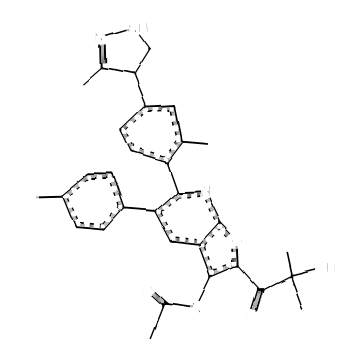 CC(=O)Nc1c(C(=O)C(C)(C)O)oc2nc(-c3ccc(C4CNN=C4C)cc3Cl)c(-c3ccc(Cl)cc3)cc12